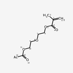 C=C(C)C(=O)OCCOCCOC(=O)C(C)=O